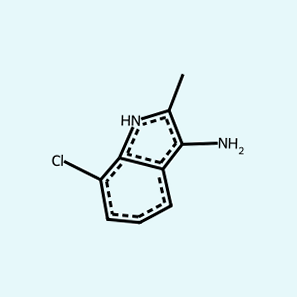 Cc1[nH]c2c(Cl)cccc2c1N